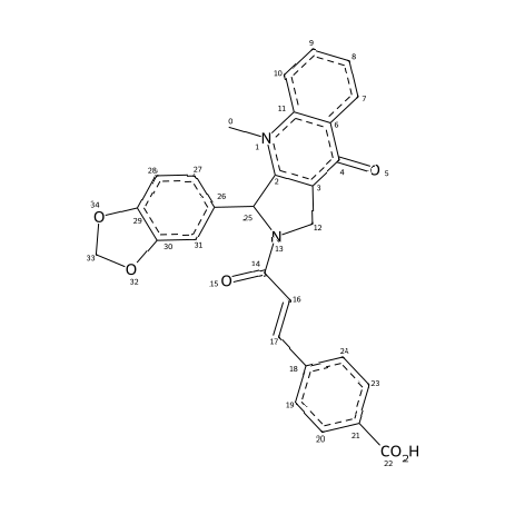 Cn1c2c(c(=O)c3ccccc31)CN(C(=O)/C=C/c1ccc(C(=O)O)cc1)C2c1ccc2c(c1)OCO2